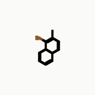 CC1=C(Br)C2C=CC=CC2C=C1